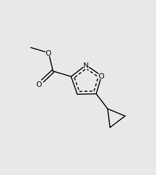 COC(=O)c1cc(C2CC2)on1